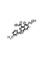 Cc1ccnc(Nc2cc3ccn(CCO)c(=O)c3c(NC(C)(C)C)n2)c1